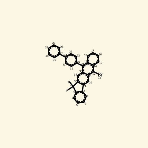 CC1(C)c2ccccc2-c2cc3c(Br)c4ccccc4c(-c4ccc(-c5ccccc5)cc4)c3cc21